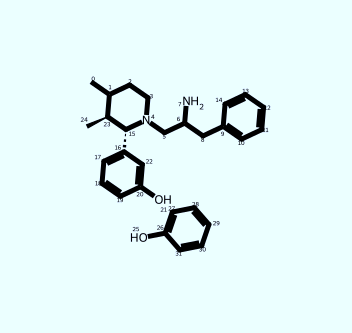 CC1CCN(CC(N)Cc2ccccc2)[C@H](c2cccc(O)c2)[C@H]1C.Oc1ccccc1